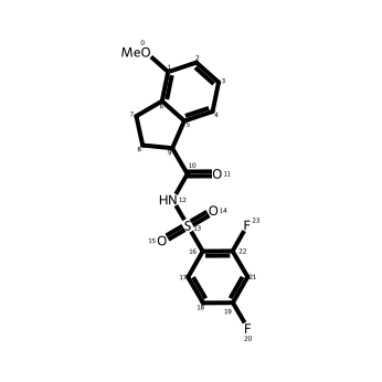 COc1cccc2c1CCC2C(=O)NS(=O)(=O)c1ccc(F)cc1F